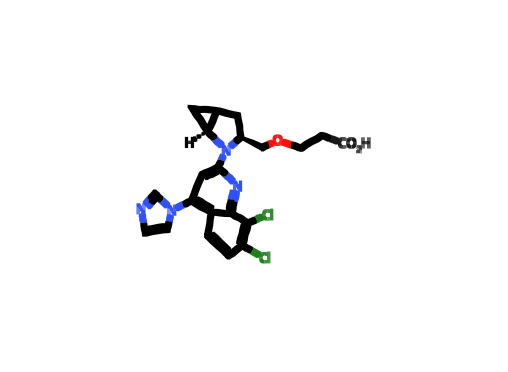 O=C(O)CCOC[C@@H]1CC2C[C@@H]2N1c1cc(-n2ccnc2)c2ccc(Cl)c(Cl)c2n1